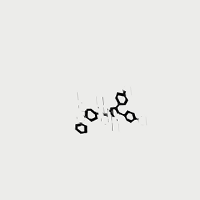 Cc1cc(NC(=O)N2CC(c3ccc(Cl)cc3)=C(c3ccc(Cl)cc3)N2)ccc1Oc1ccccc1